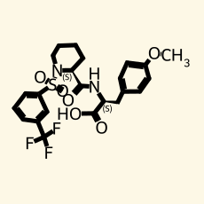 COc1ccc(C[C@H](NC(=O)[C@@H]2CCCCN2S(=O)(=O)c2cccc(C(F)(F)F)c2)C(=O)O)cc1